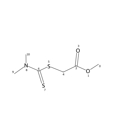 COC(=O)CSC(=S)N(C)C